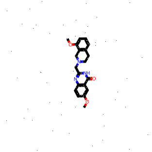 COc1ccc2nc(CN3CCc4cccc(OC)c4C3)[nH]c(=O)c2c1